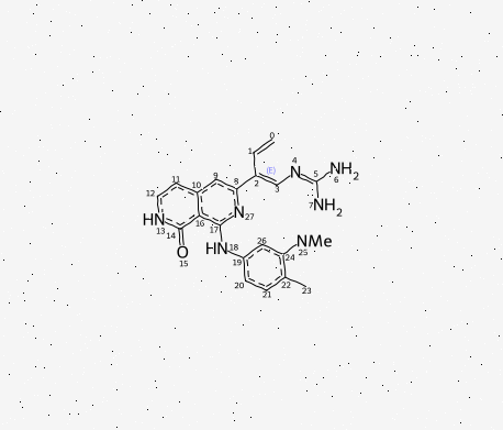 C=C/C(=C\N=C(N)N)c1cc2cc[nH]c(=O)c2c(Nc2ccc(C)c(NC)c2)n1